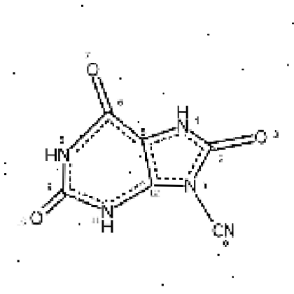 N#Cn1c(=O)[nH]c2c(=O)[nH]c(=O)[nH]c21